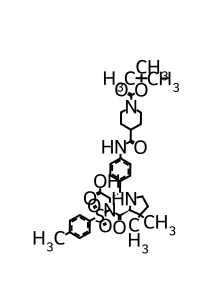 Cc1ccc(S(=O)(=O)N(C(=O)[C@H]2NCCC2(C)C)[C@@H](Cc2ccc(NC(=O)C3CCN(C(=O)OC(C)(C)C)CC3)cc2)C(=O)O)cc1